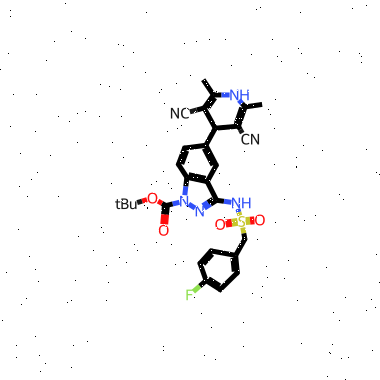 CC1=C(C#N)C(c2ccc3c(c2)c(NS(=O)(=O)Cc2ccc(F)cc2)nn3C(=O)OC(C)(C)C)C(C#N)=C(C)N1